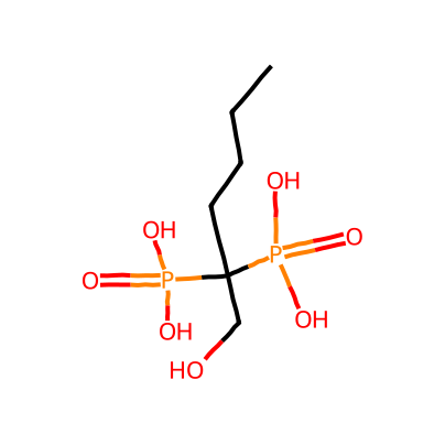 CCCCC(CO)(P(=O)(O)O)P(=O)(O)O